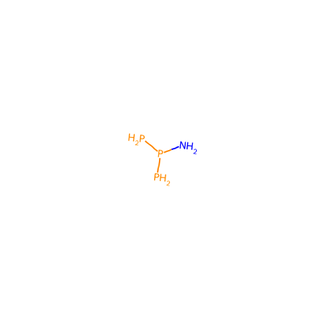 NP(P)P